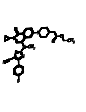 CCOC(=O)CC1CCN(c2ccc3c(=O)n(C4CC4)cc(N(C)c4nc(-c5ccc(F)cc5)c(C#N)s4)c3c2)CC1